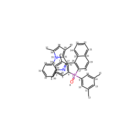 Cc1cc(C)cc(P(=O)(c2cc(C)cc(C)c2)c2ccc3ccccc3c2-c2nc3ccccc3n3c(C)cc(C)c23)c1